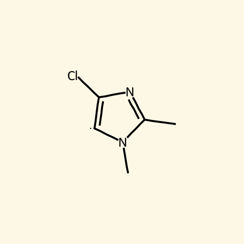 Cc1nc(Cl)[c]n1C